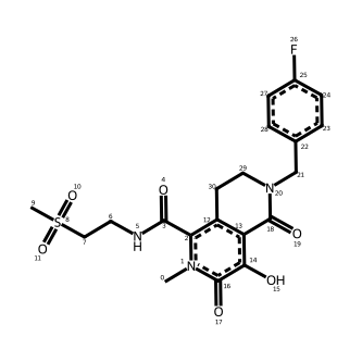 Cn1c(C(=O)NCCS(C)(=O)=O)c2c(c(O)c1=O)C(=O)N(Cc1ccc(F)cc1)CC2